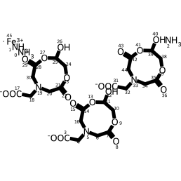 N.N.N.O=C([O-])CN1CC(=O)OCC(O)OC(=O)C1.O=C([O-])CN1CC(=O)OCC(O)OC(=O)C1.O=C([O-])CN1CC(=O)OCC(O)OC(=O)C1.[Fe+3]